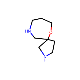 C1CNCC2(CCNC2)OC1